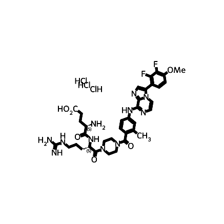 COc1ccc(-c2cnc3c(Nc4ccc(C(=O)N5CCN(C(=O)[C@H](CCCNC(=N)N)NC(=O)[C@@H](N)CCC(=O)O)CC5)c(C)c4)nccn23)c(F)c1F.Cl.Cl.Cl